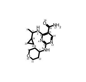 CC(Nc1nc(NC2CCOCC2)ncc1C(N)=O)C1CC1